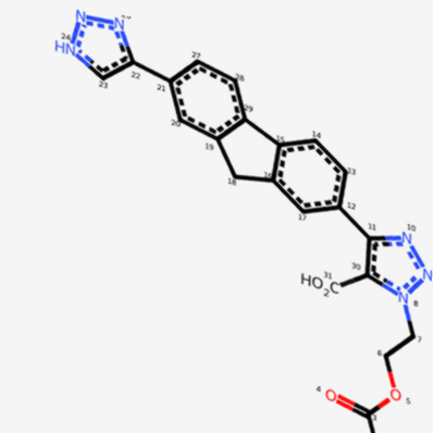 CC(C)C(N)C(=O)OCCn1nnc(-c2ccc3c(c2)Cc2cc(-c4c[nH]nn4)ccc2-3)c1C(=O)O